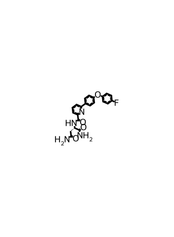 NC(=O)C[C@H](NC(=O)c1cccc(-c2ccc(Oc3ccc(F)cc3)cc2)n1)C(N)=O